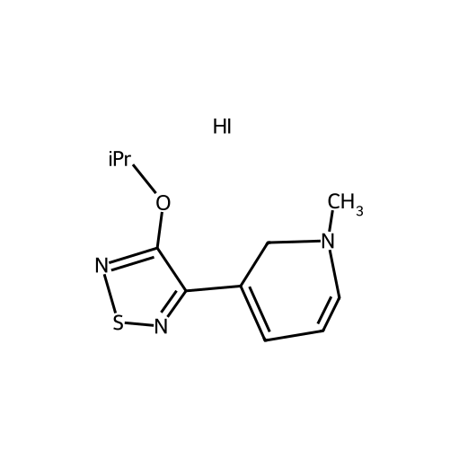 CC(C)Oc1nsnc1C1=CC=CN(C)C1.I